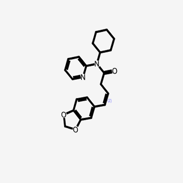 O=C(C/C=C\c1ccc2c(c1)OCO2)N(c1ccccn1)C1CCCCC1